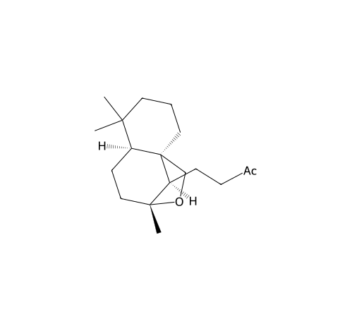 CC(=O)CC[C@@H]1[C@@]23CCCC(C)(C)[C@@H]2CC[C@@]1(C)OC3